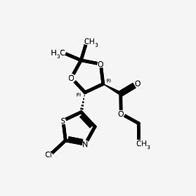 CCOC(=O)[C@@H]1OC(C)(C)O[C@H]1c1cnc(Cl)s1